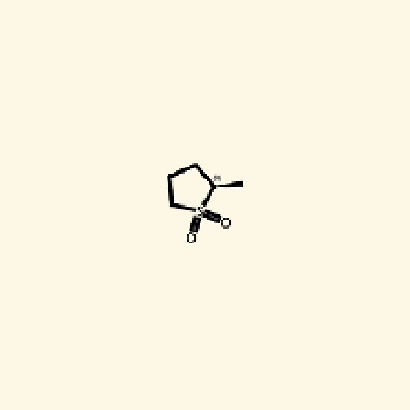 C[C@@H]1CCCS1(=O)=O